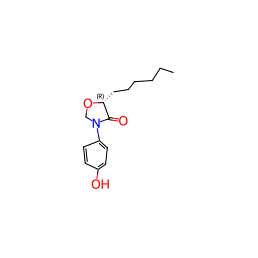 CCCCCC[C@H]1OCN(c2ccc(O)cc2)C1=O